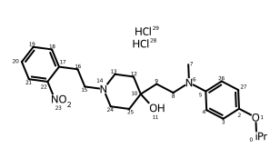 CC(C)Oc1ccc(N(C)CCC2(O)CCN(CCc3ccccc3[N+](=O)[O-])CC2)cc1.Cl.Cl